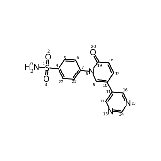 NS(=O)(=O)c1ccc(-n2cc(-c3cncnc3)ccc2=O)cc1